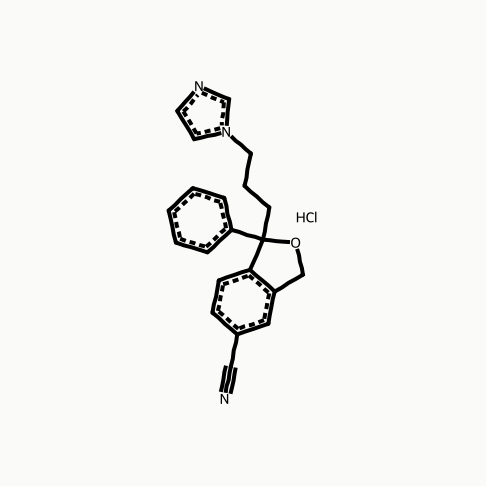 Cl.N#Cc1ccc2c(c1)COC2(CCCn1ccnc1)c1ccccc1